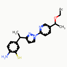 CC(=O)COC(C)c1ccc(-n2ccc(C(C)c3ccc(N)c(S)c3)n2)nc1